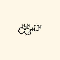 CN1CCN(C(=O)C(N)c2ccccc2F)CC1